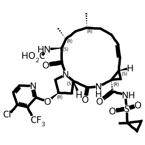 C[C@@H]1CCC=C[C@@H]2C[C@@]2(C(=O)NS(=O)(=O)C2(C)CC2)NC(=O)[C@@H]2C[C@@H](Oc3nccc(Cl)c3C(F)(F)F)CN2C(=O)[C@@H](NC(=O)O)[C@H](C)C1